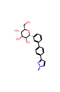 Cn1ccc(-c2ccc(-c3cccc([C@H]4O[C@H](CO)[C@@H](O)[C@H](O)[C@@H]4O)c3)cc2)n1